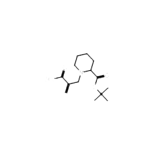 C=C(CN1CCCCC1C(=O)OC(C)(C)C)C(=O)O